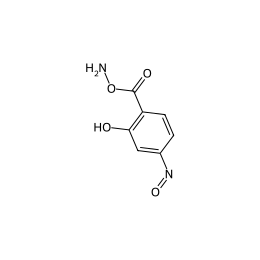 NOC(=O)c1ccc(N=O)cc1O